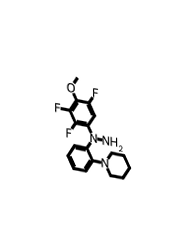 COc1c(F)cc(N(N)c2ccccc2N2CCCCC2)c(F)c1F